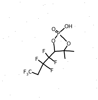 CC1(C)OP(=O)(O)OC1C(F)(F)C(F)(F)CC(F)(F)F